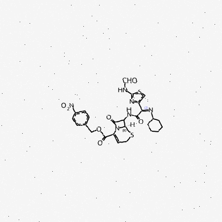 O=CNc1nc(/C(=N/C2CCCCC2)C(=O)NC2C(=O)N3C(C(=O)OCc4ccc([N+](=O)[O-])cc4)=CCS[C@H]23)cs1